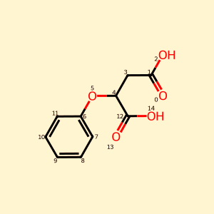 O=C(O)CC(Oc1ccccc1)C(=O)O